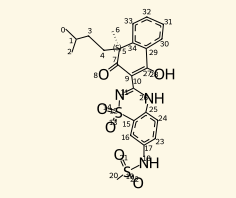 CC(C)CC[C@]1(C)C(=O)C(C2=NS(=O)(=O)c3cc(NS(C)(=O)=O)ccc3N2)=C(O)c2ccccc21